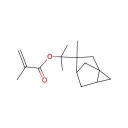 C=C(C)C(=O)OC(C)(C)C1(C)CC23CC2CC1C3